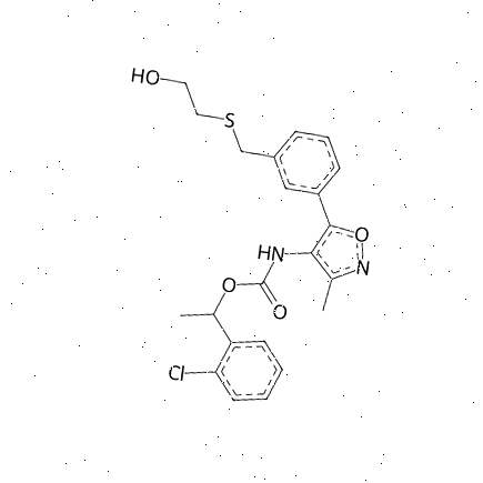 Cc1noc(-c2cccc(CSCCO)c2)c1NC(=O)OC(C)c1ccccc1Cl